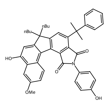 CCCCC1(CCCC)c2cc(C(C)(C)c3ccccc3)c3c(c2-c2c1cc(O)c1cc(OC)ccc21)C(=O)N(c1ccc(O)cc1)C3=O